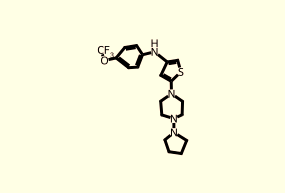 FC(F)(F)Oc1ccc(Nc2csc(N3CCN(N4CCCC4)CC3)c2)cc1